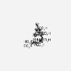 CCSSC[C@H](NC(=O)[C@H](Cc1ccccc1)NC(=O)[C@H](CC(=O)O)NC(=O)CC[C@H](NC(=O)CC[C@H](NC(=O)N[C@@H](CCC(=O)O)C(=O)O)C(=O)O)C(=O)O)C(=O)O